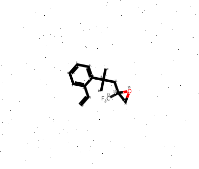 C=Cc1ccccc1C(C)(C)CC1(C(F)(F)F)CO1